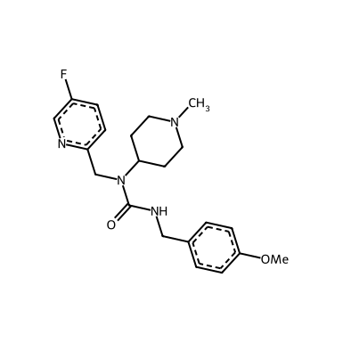 COc1ccc(CNC(=O)N(Cc2ccc(F)cn2)C2CCN(C)CC2)cc1